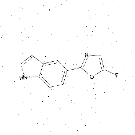 Fc1cnc(-c2ccc3[nH]ccc3c2)o1